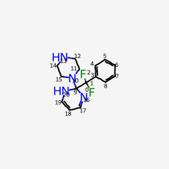 FC(F)(c1ccccc1)C1(N2CCNCC2)N=CC=CN1